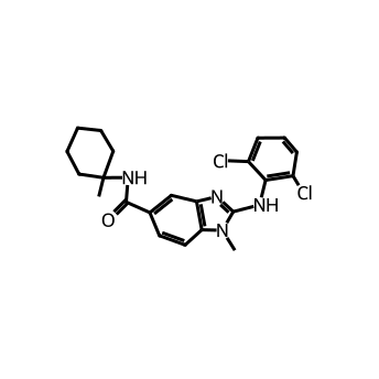 Cn1c(Nc2c(Cl)cccc2Cl)nc2cc(C(=O)NC3(C)CCCCC3)ccc21